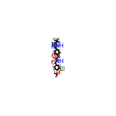 CC(C)Oc1ccc(C(=O)N[C@H](CO)Cc2ccc(-c3nnc(C(C)(C)C)[nH]3)cc2)cc1Cl